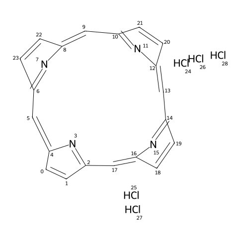 C1=CC2=NC1=CC1=NC(=CC3=NC(=CC4=NC(=C2)C=C4)C=C3)C=C1.Cl.Cl.Cl.Cl.Cl